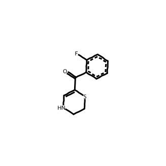 O=C(C1=CNCCS1)c1ccccc1F